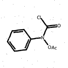 CC(=O)ON(C(=O)Cl)c1ccccc1